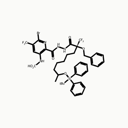 CC(CCCCC[C@@](OCc1ccccc1)(C(=O)NNC(=O)c1nc(Br)c(C(F)(F)F)cc1NC(=O)O)C(F)(F)F)O[Si](c1ccccc1)(c1ccccc1)C(C)(C)C